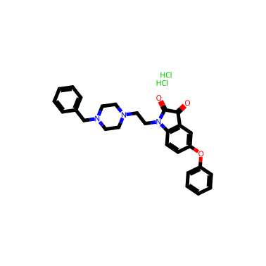 Cl.Cl.O=C1C(=O)N(CCN2CCN(Cc3ccccc3)CC2)c2ccc(Oc3ccccc3)cc21